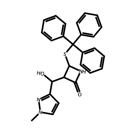 Cn1ccc(C(O)C2C(=O)NC2SC(c2ccccc2)(c2ccccc2)c2ccccc2)n1